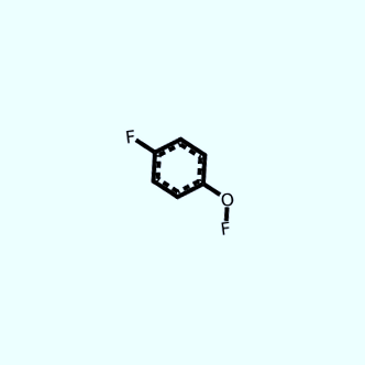 FOc1ccc(F)cc1